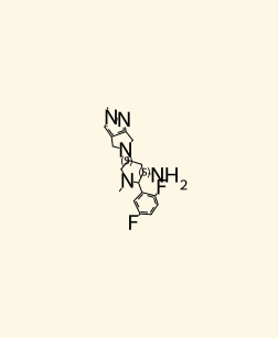 CN1C[C@@H](N2Cc3cn(C)nc3C2)C[C@H](N)C1c1cc(F)ccc1F